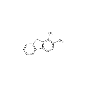 Cc1ccc2c(c1C)[CH]c1ccccc1-2